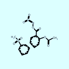 CC(=O)Oc1ccccc1C(=O)ON=S(=O)=O.CS(=O)(=O)c1ccccc1